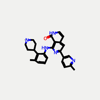 Cc1ccc(-c2cc3cc[nH]c(=O)c3c(Nc3cccc(C)c3C3CC[N]CC3)n2)cn1